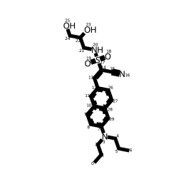 CCCN(CCC)c1ccc2cc(/C=C(\C#N)S(=O)(=O)NCC(O)CO)ccc2c1